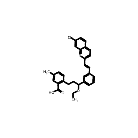 CCOC(CCc1ccc(C)cc1C(=O)O)c1cccc(/C=C/c2ccc3ccc(Cl)cc3n2)c1